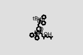 CC(C)=CCC(O)C(C)CCC[C@]1(C)OCC(=CCO[Si](c2ccccc2)(c2ccccc2)C(C)(C)C)CC[C@H]1O[Si](c1ccccc1)(c1ccccc1)C(C)(C)C